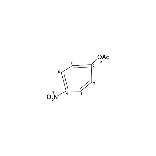 [CH2]C(=O)Oc1ccc([N+](=O)[O-])cc1